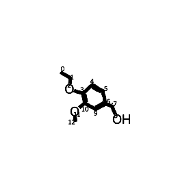 CCOc1ccc([CH]O)cc1OC